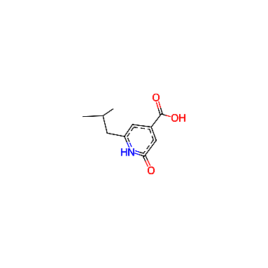 CC(C)Cc1cc(C(=O)O)cc(=O)[nH]1